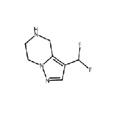 FC(F)c1cnn2c1CNCC2